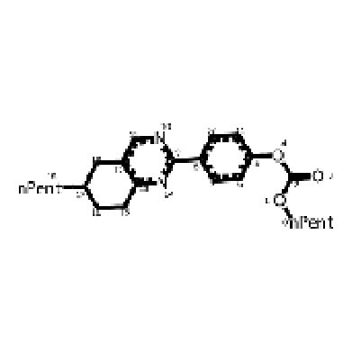 CCCCCOC(=O)Oc1ccc(-c2ncc3c(n2)CCC(CCCCC)C3)cc1